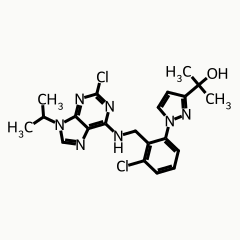 CC(C)n1cnc2c(NCc3c(Cl)cccc3-n3ccc(C(C)(C)O)n3)nc(Cl)nc21